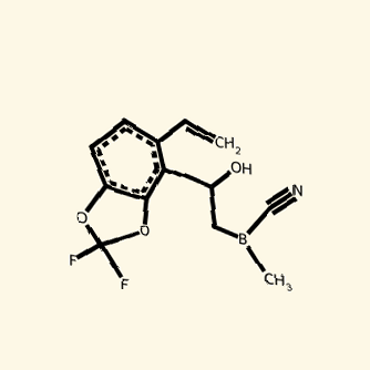 C=Cc1ccc2c(c1C(O)CB(C)C#N)OC(F)(F)O2